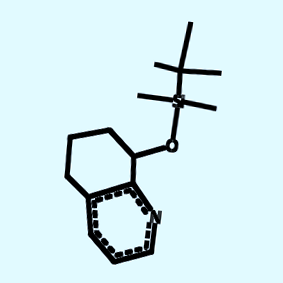 CC(C)(C)[Si](C)(C)OC1CCCc2cccnc21